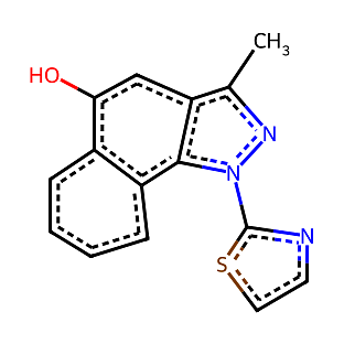 Cc1nn(-c2nccs2)c2c1cc(O)c1ccccc12